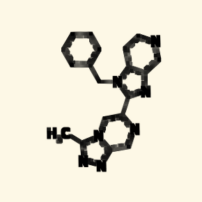 Cc1nnc2cnc(-c3nc4cnccc4n3Cc3ccccc3)cn12